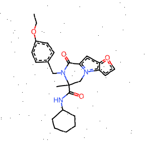 CCOc1ccc(CN2C(=O)c3cc4occc4n3CC2(C)C(=O)NC2CCCCC2)cc1